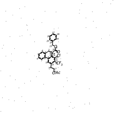 CCN(Cc1ccccc1-c1cc(Cl)c(C(F)(F)F)c(CCOC(C)=O)c1)C(=O)OCc1ccccc1